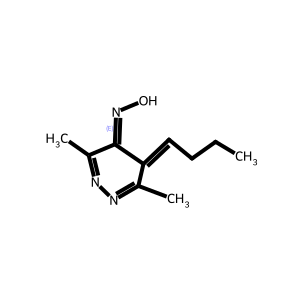 CCCC=C1C(C)=NN=C(C)/C1=N/O